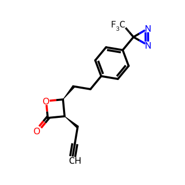 C#CC[C@H]1C(=O)O[C@H]1CCc1ccc(C2(C(F)(F)F)N=N2)cc1